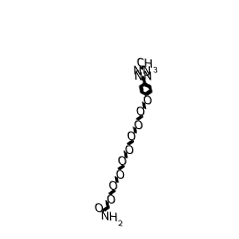 Cc1nnc(-c2ccc(OCCOCCOCCOCCOCCOCCOCCOCCOCCC(N)=O)cc2)nn1